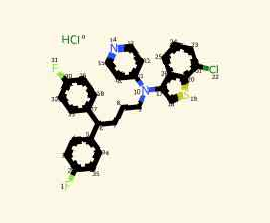 Cl.Fc1ccc(C(CCCN(c2ccncc2)c2csc3c(Cl)cccc23)c2ccc(F)cc2)cc1